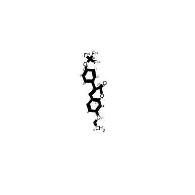 CCOc1ccc2cc(-c3ccc(OC(F)(F)F)cc3)c(=O)oc2c1